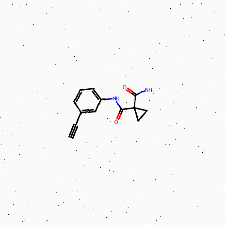 C#Cc1cccc(NC(=O)C2(C(N)=O)CC2)c1